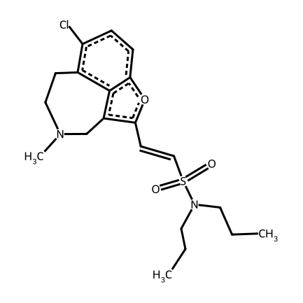 CCCN(CCC)S(=O)(=O)/C=C/c1oc2ccc(Cl)c3c2c1CN(C)CC3